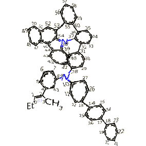 CC/C=C(\C)c1cccc(N(c2ccc(-c3ccc(-c4ccccc4)cc3)cc2)c2ccc(-c3cccc4c3-n3c5ccccc5c5c6ccccc6cc(c53)-c3ccccc3-4)cc2)c1